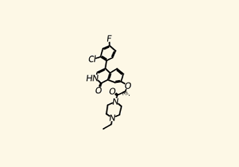 CCN1CCN(C(=O)[C@@H](C)Oc2ccc3c(-c4ccc(F)cc4Cl)c[nH]c(=O)c3c2)CC1